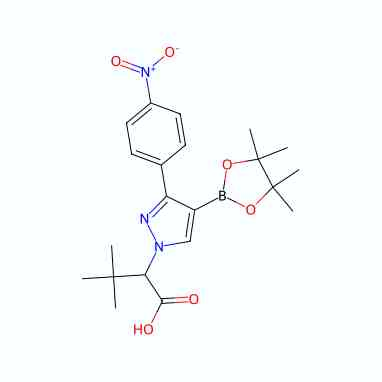 CC(C)(C)C(C(=O)O)n1cc(B2OC(C)(C)C(C)(C)O2)c(-c2ccc([N+](=O)[O-])cc2)n1